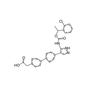 CC(OC(=O)Nc1[nH]ncc1-c1ccc(-c2ccc(CC(=O)O)cc2)cc1)c1ccccc1Cl